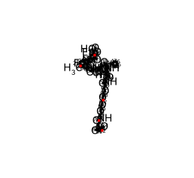 CC[C@@]1(O)C(=O)OCc2c1cc1n(c2=O)Cc2c-1nc1cc(F)c(C)c3c1c2[C@@H](NC(=O)[C@H](C)NC(=O)CNC(=O)[C@H](Cc1ccccc1)NC(=O)CNC(=O)CNC(=O)CCOCCOCCOCCOCCNC(=O)CCN1C(=O)C=CC1=O)CC3